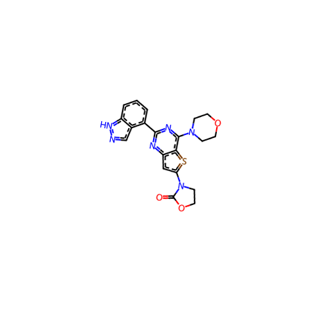 O=C1OCCN1c1cc2nc(-c3cccc4[nH]ncc34)nc(N3CCOCC3)c2s1